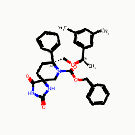 Cc1cc(C)cc([C@@H](C)OC[C@@]2(c3ccccc3)CCC3(CN2C(=O)OCc2ccccc2)NC(=O)NC3=O)c1